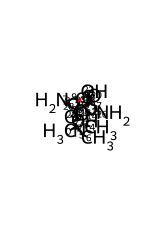 CCN(CC)CC.Nc1ccc(-c2ccc(N)cc2S(=O)(=O)O)c(S(=O)(=O)O)c1